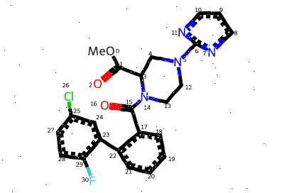 COC(=O)C1CN(c2ncccn2)CCN1C(=O)c1ccccc1-c1cc(Cl)ccc1F